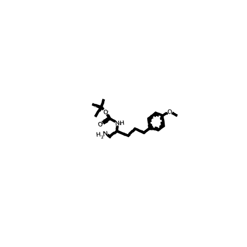 COc1ccc(CCCC(CN)NC(=O)OC(C)(C)C)cc1